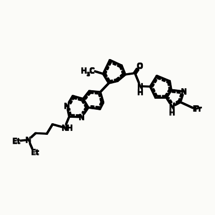 CCN(CC)CCCNc1ncc2cc(-c3cc(C(=O)Nc4ccc5nc(C(C)C)[nH]c5c4)ccc3C)ccc2n1